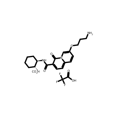 NCCCOc1ccc2ccc(C(=O)N[C@@H]3CCCC[C@H]3C(=O)O)c(=O)n2c1.O=C(O)C(F)(F)F